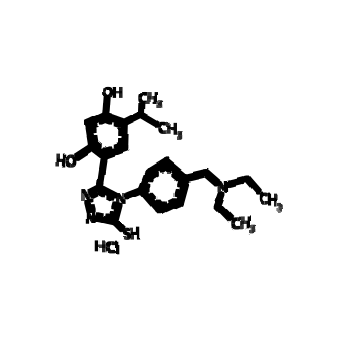 CCN(CC)Cc1ccc(-n2c(S)nnc2-c2cc(C(C)C)c(O)cc2O)cc1.Cl